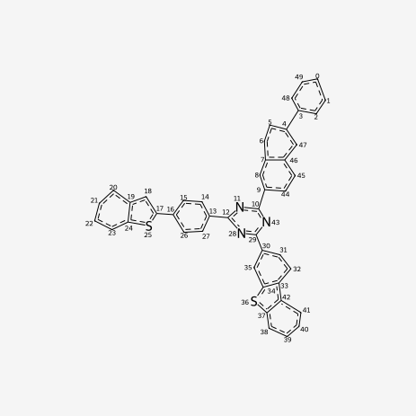 c1ccc(-c2ccc3cc(-c4nc(-c5ccc(-c6cc7ccccc7s6)cc5)nc(-c5ccc6c(c5)sc5ccccc56)n4)ccc3c2)cc1